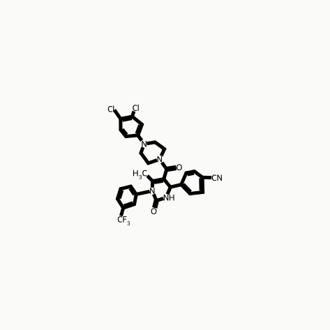 CC1=C(C(=O)N2CCN(c3ccc(Cl)c(Cl)c3)CC2)C(c2ccc(C#N)cc2)NC(=O)N1c1cccc(C(F)(F)F)c1